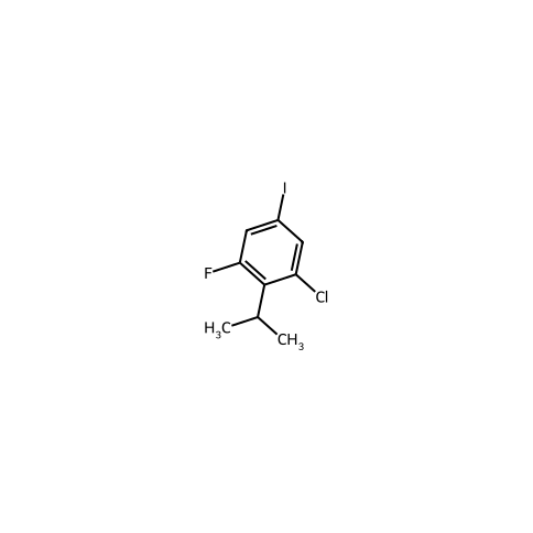 CC(C)c1c(F)cc(I)cc1Cl